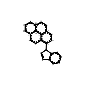 [C]1=Cc2ccccc2C1c1ccc2ccc3cccc4ccc1c2c34